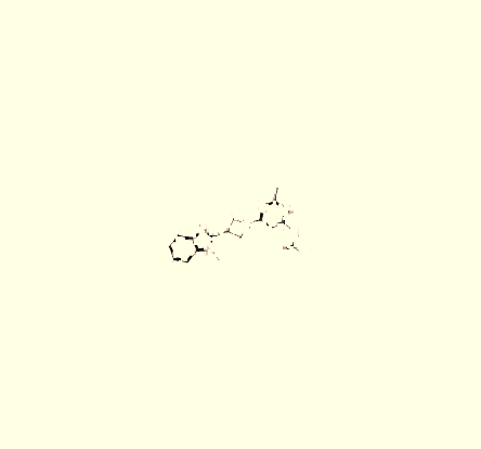 CCCC(=O)Nc1cc(N2CC(c3nc4ccccc4n3C)C2)nc(C)n1